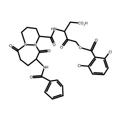 O=C(O)CC(NC(=O)C1CCCN2C(=O)CCC(NC(=O)c3ccccc3)C(=O)N12)C(=O)COC(=O)c1c(Cl)cccc1Cl